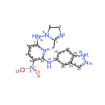 CC1=NCCN1Nc1ccc([N+](=O)[O-])c(Nc2ccc3[nH]ncc3c2)n1